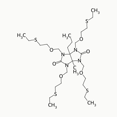 CCCC12N(COCCSCC)C(=O)N(COCCSCC)C1(C)N(COCCSCC)C(=O)N2COCCSCC